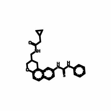 O=C(CC1CC1)NCC1COc2ccc3ccc(NC(=S)Nc4ccccc4)cc3c2C1